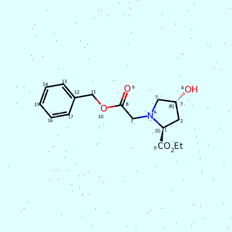 CCOC(=O)[C@@H]1C[C@@H](O)CN1CC(=O)OCc1ccccc1